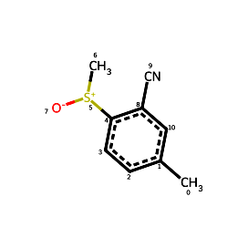 Cc1ccc([S+](C)[O-])c(C#N)c1